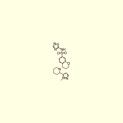 Cn1nccc1C1CCCCN1[C@H]1CCOc2cc(S(=O)(=O)Nc3ncns3)ccc21